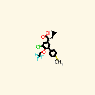 CSc1ccc(-c2cc([C@@H](CC3CC3)C(=O)O)cc(Cl)c2OCC(F)(F)F)cc1